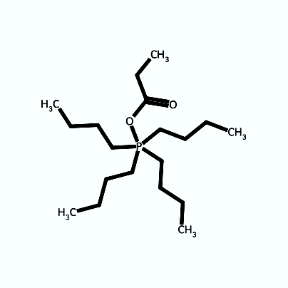 CCCCP(CCCC)(CCCC)(CCCC)OC(=O)CC